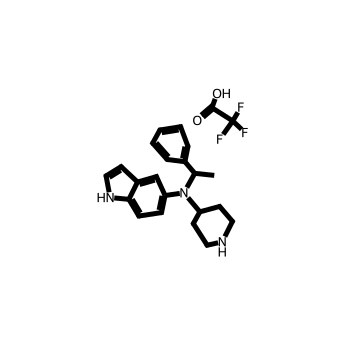 CC(c1ccccc1)N(c1ccc2[nH]ccc2c1)C1CCNCC1.O=C(O)C(F)(F)F